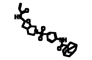 C=CC(=O)NC1CC2CCN(S(=O)(=O)c3ccc(NC(=O)C45CC6CC(CC(C6)C4)C5)cc3)CC2O1